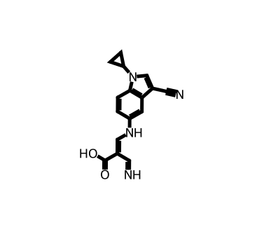 N#Cc1cn(C2CC2)c2ccc(N/C=C(\C=N)C(=O)O)cc12